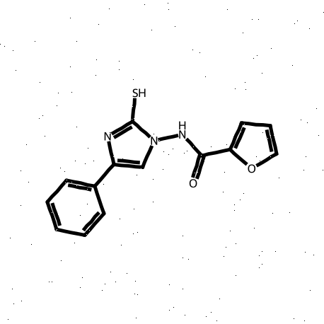 O=C(Nn1cc(-c2ccccc2)nc1S)c1ccco1